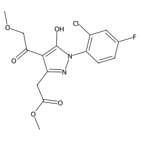 COCC(=O)c1c(CC(=O)OC)nn(-c2ccc(F)cc2Cl)c1O